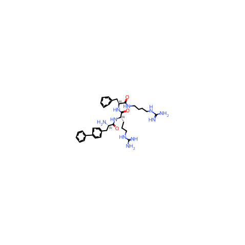 N=C(N)NCCCCNC(=O)[C@H](Cc1ccccc1)NC(=O)[C@H](CCCNC(=N)N)NC(=O)[C@@H](N)Cc1ccc(-c2ccccc2)cc1